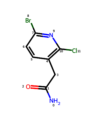 NC(=O)Cc1ccc(Br)nc1Cl